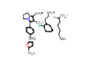 CCCCCCCCCCCCCCC(F)C(=O)O.COc1ccc(-c2c(C(=O)O)c(C(=O)O)c3n2CCC3)cc1.O=C(O)CCc1ccccc1Cl.O=C(O)c1ccco1